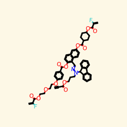 C#CC(=O)OCCCN(/N=C/c1c(OC(=O)c2ccc(OCCOCCOC(=O)C(=C)F)cc2)ccc2cc(OC(=O)C3CCC(OC(=O)C(=C)F)CC3)ccc12)C1c2ccccc2-c2ccccc21